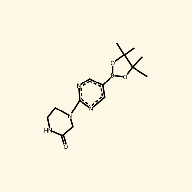 CC1(C)OB(c2cnc(N3CCNC(=O)C3)nc2)OC1(C)C